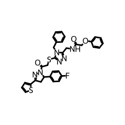 O=C(COc1ccccc1)NCc1nnc(SCC(=O)N2N=C(c3cccs3)CC2c2ccc(F)cc2)n1Cc1ccccc1